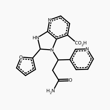 NC(=O)CC(c1cccnc1)N1c2c(C(=O)O)ccnc2NC1c1ccco1